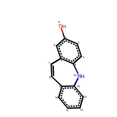 Oc1ccc2c(c1)C=Cc1ccccc1N2